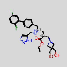 CCOC(=O)[C@@H](C[C@@H](Cc1ccc(-c2cc(Cl)ccc2F)cc1)NCc1cnn[nH]1)CN1CC(CO)(CO)C1